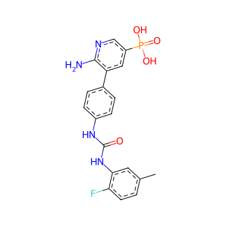 Cc1ccc(F)c(NC(=O)Nc2ccc(-c3cc(P(=O)(O)O)cnc3N)cc2)c1